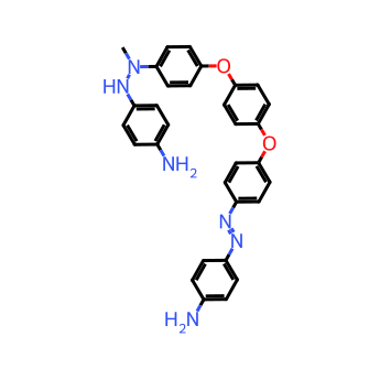 CN(Nc1ccc(N)cc1)c1ccc(Oc2ccc(Oc3ccc(/N=N/c4ccc(N)cc4)cc3)cc2)cc1